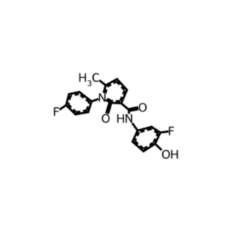 Cc1ccc(C(=O)Nc2ccc(O)c(F)c2)c(=O)n1-c1ccc(F)cc1